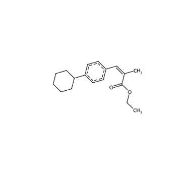 CCOC(=O)C(C)=Cc1ccc(C2CCCCC2)cc1